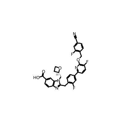 N#Cc1ccc(COc2nc(-c3ccc(Cc4nc5ccc(C(=O)O)cc5n4C[C@@H]4CCO4)c(F)c3)ccc2F)c(F)c1